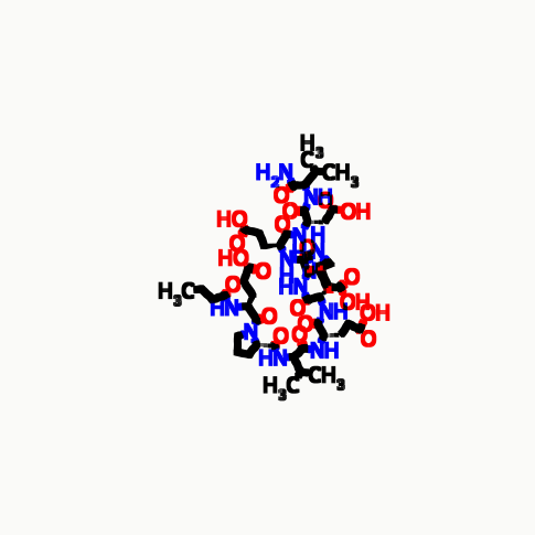 CCCC(=O)N[C@@H](CCC(=O)O)C(=O)N1CCC[C@H]1C(=O)NC(C(=O)N[C@@H](CCC(=O)O)C(=O)N[C@@H](Cc1c[nH]cn1)C(=O)N[C@@H](CCC(=O)O)C(=O)N[C@@H](CCC(=O)O)C(=O)N[C@@H](CC(=O)O)C(=O)NC(C(N)=O)C(C)C)C(C)C